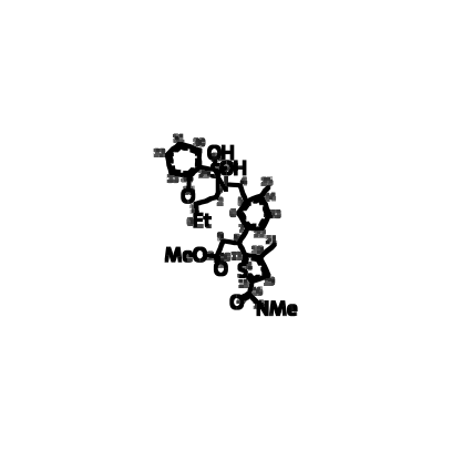 CCC1CN(Cc2cc(C(CC(=O)OC)c3sc(C(=O)NC)cc3C)ccc2C)S(O)(O)c2ccccc2O1